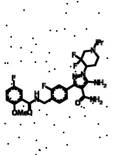 COc1ccc(F)cc1C(=O)NCc1ccc(-c2nn(C3CCN(C(C)C)CC3(F)F)c(N)c2C(N)=O)cc1F